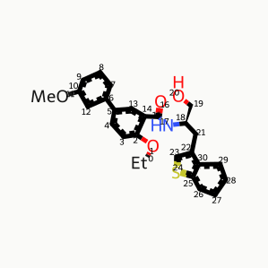 CCOc1ccc(-c2cccc(OC)c2)cc1C(=O)N[C@@H](CO)Cc1csc2ccccc12